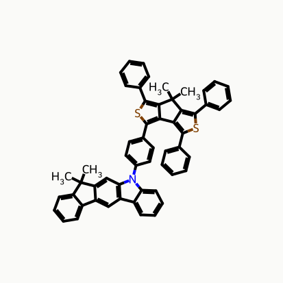 CC1(C)c2ccccc2-c2cc3c4ccccc4n(-c4ccc(-c5sc(-c6ccccc6)c6c5-c5c(-c7ccccc7)sc(-c7ccccc7)c5C6(C)C)cc4)c3cc21